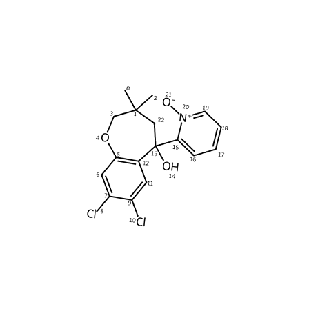 CC1(C)COc2cc(Cl)c(Cl)cc2C(O)(c2cccc[n+]2[O-])C1